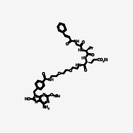 CCCCOc1nc(N)c2nc(O)n(Cc3ccc(C(=O)NCCOCCOCCNC(=O)[C@@H](CCC(=O)OCC)NC(=O)[C@@H](NC(=O)CNC(=O)/C=C/c4ccccc4)C(C)C)cc3)c2n1